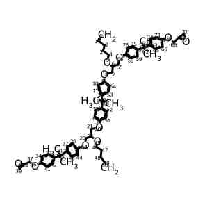 C=CCCCOC(COc1ccc(C(C)(C)c2ccc(OCC(COc3ccc(C(C)(C)c4ccc(OCC5CO5)cc4)cc3)OCCCC=C)cc2)cc1)COc1ccc(C(C)(C)c2ccc(OCC3CO3)cc2)cc1